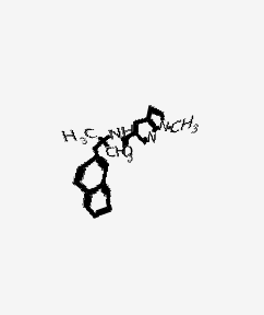 Cn1ccc2cc(C(=O)NC(C)(C)Cc3ccc4ccccc4c3)cnc21